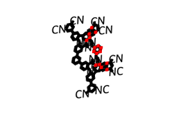 [C-]#[N+]c1cc(C#N)cc(-c2ccc3c(c2)c2cc(-c4cc(C#N)cc(C#N)c4)ccc2n3-c2ccc(-c3cccc(-c4ccc(-n5c6ccc(-c7cc(C#N)cc([N+]#[C-])c7)cc6c6cc(-c7cc([N+]#[C-])cc([N+]#[C-])c7)ccc65)c(-c5nc(-c6ccccc6)nc(-c6ccccc6)n5)c4)c3)cc2-c2nc(-c3ccccc3)nc(-c3ccccc3)n2)c1